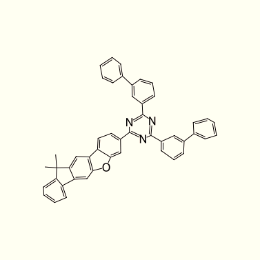 CC1(C)c2ccccc2-c2cc3oc4cc(-c5nc(-c6cccc(-c7ccccc7)c6)nc(-c6cccc(-c7ccccc7)c6)n5)ccc4c3cc21